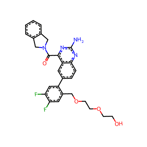 Nc1nc(C(=O)N2Cc3ccccc3C2)c2cc(-c3cc(F)c(F)cc3COCCOCCO)ccc2n1